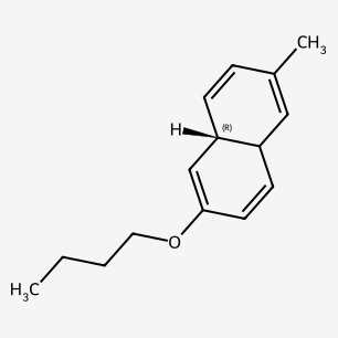 CCCCOC1=C[C@@H]2C=CC(C)=CC2C=C1